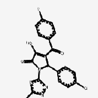 Cc1nnc(N2C(=O)C(O)=C(C(=O)c3ccc(F)cc3)C2c2ccc(Cl)cc2)s1